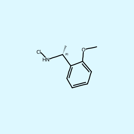 COc1ccccc1[C@@H](C)NCl